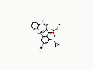 CN[C@@H](C)C(=O)N[C@]1(C2=CCN(C3CC3)c3cc(C#N)cc(C(C)=O)c32)C(=O)N(C)c2ccccc2N[C@H]1C.Cl.Cl